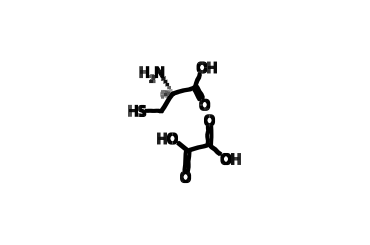 N[C@@H](CS)C(=O)O.O=C(O)C(=O)O